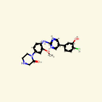 COc1cc(N2CCNCC2=O)ccc1Nc1ncc(-c2ccc(Cl)c(O)c2)cn1